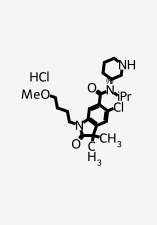 COCCCCN1C(=O)C(C)(C)c2cc(Cl)c(C(=O)N(C(C)C)[C@@H]3CCCNC3)cc21.Cl